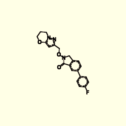 O=C1c2cc(-c3ccc(F)cc3)ccc2CN1OCc1cc2n(n1)CCCO2